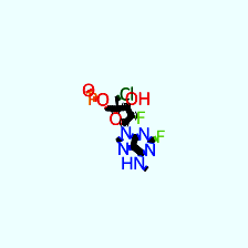 CNc1nc(F)nc2c1ncn2[C@@H]1O[C@](CCl)(COP=O)[C@@H](O)[C@H]1F